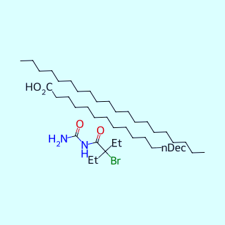 CCC(Br)(CC)C(=O)NC(N)=O.CCCCCCCCCCCCCCCCCCCC.CCCCCCCCCCCCCCCCCCCCCC(=O)O